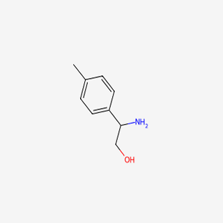 Cc1ccc(C(N)CO)cc1